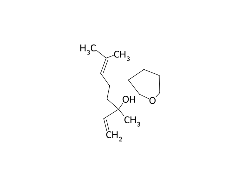 C1CCOCC1.C=CC(C)(O)CCC=C(C)C